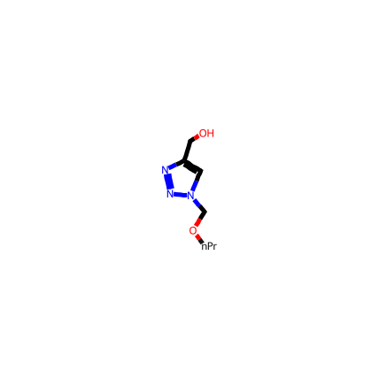 CCCOCn1cc(CO)nn1